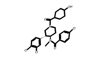 CN(C(=O)c1ccc(Cl)cc1)[C@@H]1CCN(C(=O)C2CCC(O)CC2)C[C@H]1c1ccc(Cl)c(Cl)c1